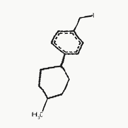 CC1CCC(c2ccc(CI)cc2)CC1